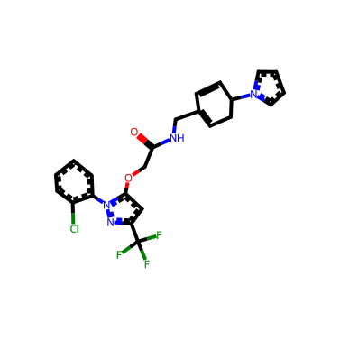 O=C(COc1cc(C(F)(F)F)nn1-c1ccccc1Cl)NCC1=CCC(n2cccc2)C=C1